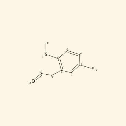 CSc1ccc(F)cc1CC=O